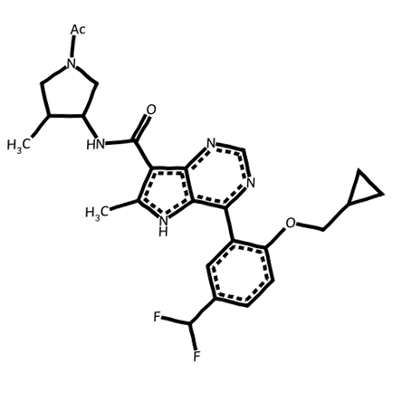 CC(=O)N1CC(C)C(NC(=O)c2c(C)[nH]c3c(-c4cc(C(F)F)ccc4OCC4CC4)ncnc23)C1